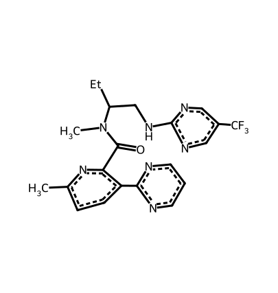 CCC(CNc1ncc(C(F)(F)F)cn1)N(C)C(=O)c1nc(C)ccc1-c1ncccn1